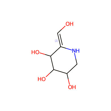 O/C=C1\NCC(O)C(O)C1O